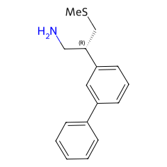 CSC[C@@H](CN)c1cccc(-c2ccccc2)c1